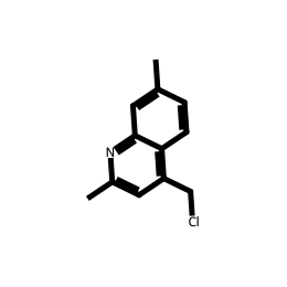 Cc1ccc2c(CCl)cc(C)nc2c1